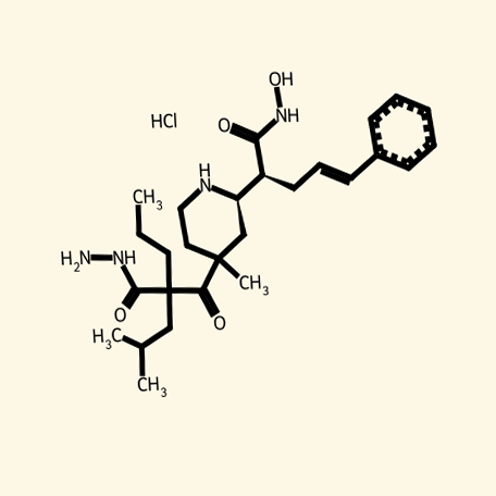 CCCC(CC(C)C)(C(=O)NN)C(=O)C1(C)CCN[C@@H]([C@H](C/C=C/c2ccccc2)C(=O)NO)C1.Cl